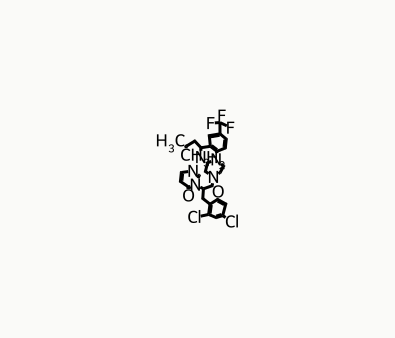 CC(C)CC(N)c1cc(C(F)(F)F)ccc1N1CCN(C(=O)C(Cc2ccc(Cl)cc2Cl)n2cnccc2=O)CC1